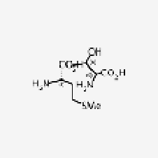 CSCC[C@H](N)C(=O)O.C[C@@H](O)[C@H](N)C(=O)O